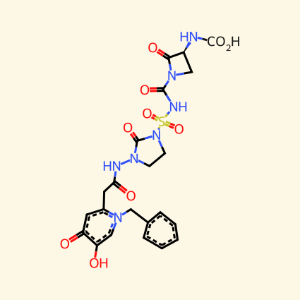 O=C(O)N[C@H]1CN(C(=O)NS(=O)(=O)N2CCN(NC(=O)Cc3cc(=O)c(O)cn3Cc3ccccc3)C2=O)C1=O